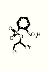 CC(C)CC(OS(=O)(=O)c1ccccc1S(=O)(=O)O)C(C)C